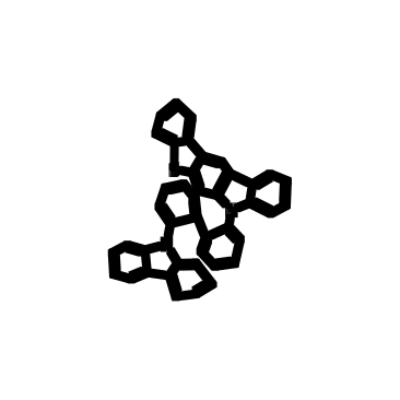 c1ccc(-n2c3ccccc3c3ccccc32)c(-c2ccccc2-n2c3ccccc3c3cc4c(cc32)sc2ccccc24)c1